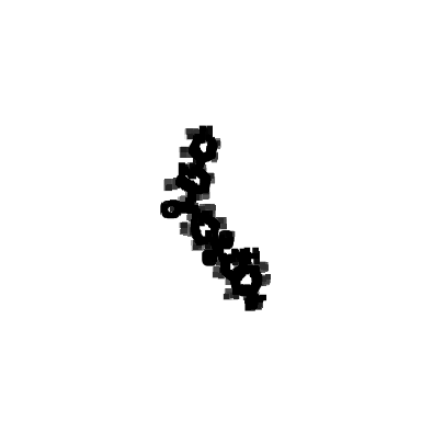 O=C(c1ccc(-c2ccncc2)nc1)N1CCN(S(=O)(=O)c2cc3cc(Br)ccc3[nH]2)CC1